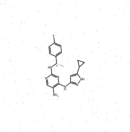 C[C@H](Nc1ncc(N)c(Nc2cc(C3CC3)[nH]n2)n1)c1ccc(F)cc1